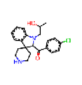 CC(O)CN1c2ccccc2C2(CCNCC2)C1C(=O)c1ccc(Cl)cc1